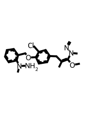 C=NN(C)/C(OC)=C(/C)Cc1ccc(OCc2ccccc2N(C)N)c(Cl)c1